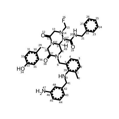 Cc1cccc(CN2C[C@H]3N(C(=O)CN(CF)N3C(=O)NCc3ccccc3)[C@@H](Cc3ccc(O)cc3)C2=O)c1NCc1cccc(N)c1